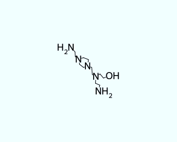 NCCN(CCO)CCN1CCN(CCN)CC1